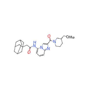 COCC1CCCN(C(=O)c2cn3c(NC(=O)CC45CC6CC(CC(C6)C4)C5)cccc3n2)C1